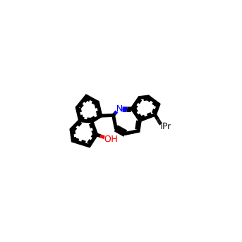 CC(C)c1cccc2c1=CC#CC(c1cccc3cccc(O)c13)N=2